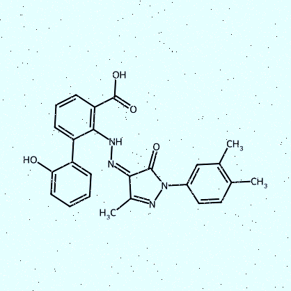 CC1=NN(c2ccc(C)c(C)c2)C(=O)C1=NNc1c(C(=O)O)cccc1-c1ccccc1O